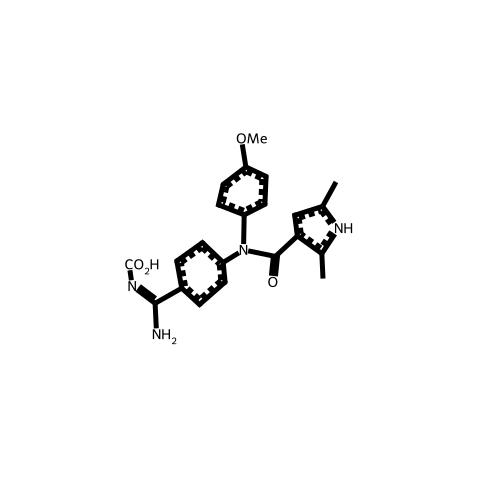 COc1ccc(N(C(=O)c2cc(C)[nH]c2C)c2ccc(/C(N)=N\C(=O)O)cc2)cc1